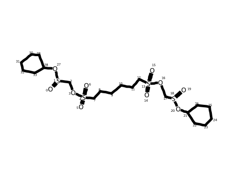 O=S(COS(=O)(=O)CCCCCCS(=O)(=O)OCS(=O)OC1CCCCC1)OC1CCCCC1